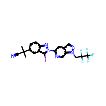 CC(C)(C#N)c1ccc2nn(-c3cc4cnn(CC(F)(F)C(F)(F)F)c4cn3)c(I)c2c1